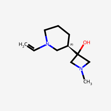 C=CN1CCC[C@@H](C2(O)CN(C)C2)C1